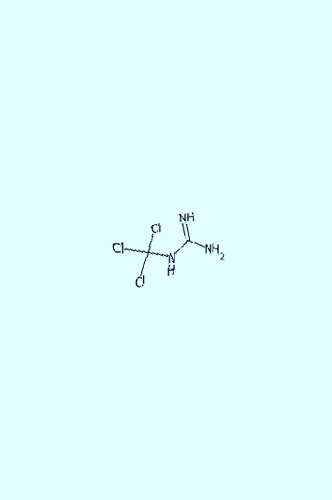 N=C(N)NC(Cl)(Cl)Cl